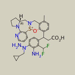 Cc1ccc(C(CC(=O)O)c2ccc(N(N)CC3CC3)c(N)c2C(F)F)cc1CN1C[C@H]2CCCN2c2ncccc2[S+]1[O-]